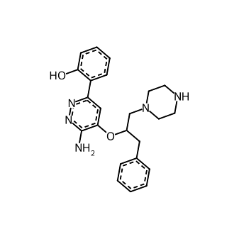 Nc1nnc(-c2ccccc2O)cc1OC(Cc1ccccc1)CN1CCNCC1